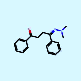 CN(C)/N=C(/CCC(=O)c1ccccc1)c1ccccc1